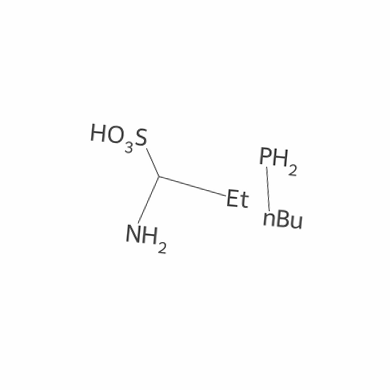 CCC(N)S(=O)(=O)O.CCCCP